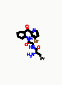 CC(C)C[C@H](N)C(=O)NCC(=O)Nc1ccccc1C(=O)c1cc(Br)ccn1